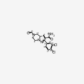 C=C(C(N)=O)/C(=N\N1CCN(C=O)CC1)c1ccc(Cl)c(Cl)c1